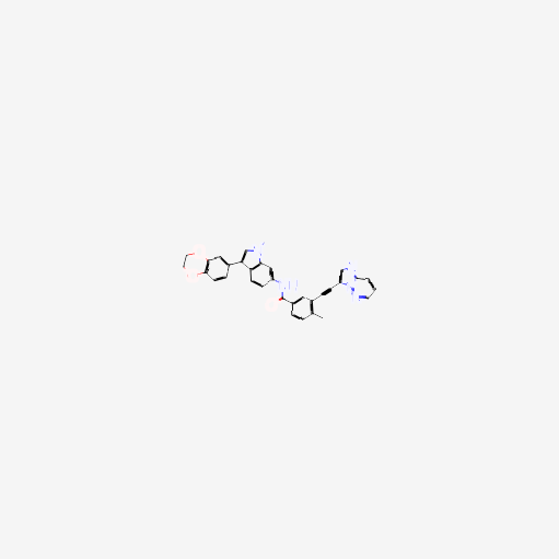 Cc1ccc(C(=O)Nc2ccc3c(-c4ccc5c(c4)OCCO5)cn(C)c3c2)cc1C#Cc1cnc2cccnn12